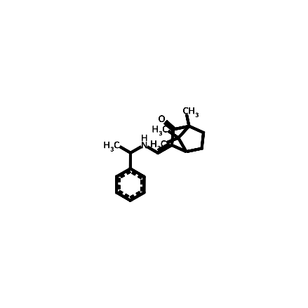 CC(N/C=C1\C(=O)C2(C)CCC1C2(C)C)c1ccccc1